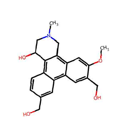 COc1cc2c3c(c4ccc(CO)cc4c2cc1CO)C(O)CN(C)C3